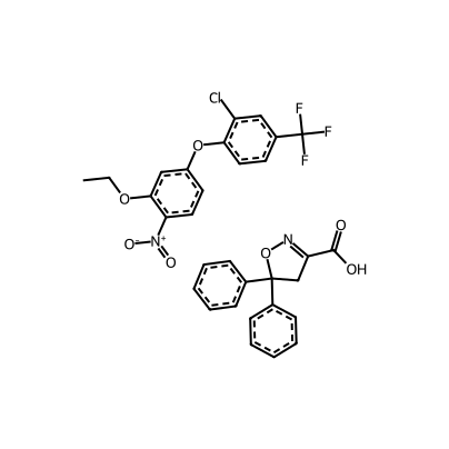 CCOc1cc(Oc2ccc(C(F)(F)F)cc2Cl)ccc1[N+](=O)[O-].O=C(O)C1=NOC(c2ccccc2)(c2ccccc2)C1